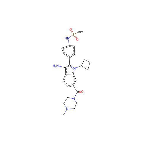 CCCS(=O)(=O)Nc1ccc(-c2c(N)c3ccc(C(=O)N4CCN(C)CC4)cc3n2C2CCC2)cc1